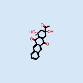 CC(=O)C1(O)CC2=C(C(=O)c3cc4ccccc4cc3C2=O)[C@H](O)C1